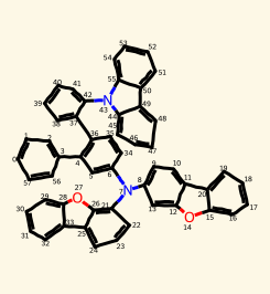 c1ccc(-c2cc(N(c3ccc4c(c3)oc3ccccc34)c3cccc4c3oc3ccccc34)ccc2-c2ccccc2-n2c3ccccc3c3ccccc32)cc1